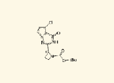 CC(C)(C)OC(=O)N1CC[C@H]1c1nn2ccc(Cl)c2c(=O)[nH]1